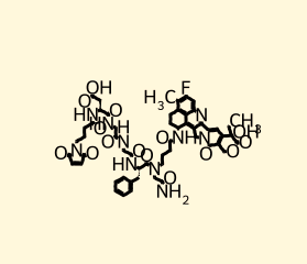 CC[C@@]1(O)C(=O)OCc2c1cc1n(c2=O)Cc2c-1nc1cc(F)c(C)c3c1c2[C@@H](NC(=O)CCCN(CC(N)=O)C(=O)[C@H](Cc1ccccc1)NC(=O)CNC(=O)CNC(=O)[C@H](CC(=O)O)NC(=O)CCCN1C(=O)C=CC1=O)CC3